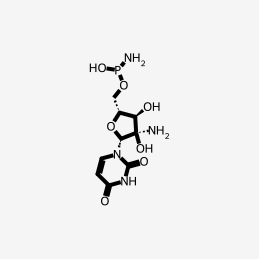 NP(O)OC[C@H]1O[C@@H](n2ccc(=O)[nH]c2=O)[C@](N)(O)[C@@H]1O